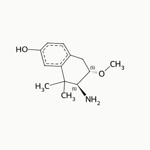 CO[C@H]1Cc2ccc(O)cc2C(C)(C)[C@@H]1N